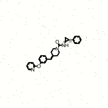 O=C(N[C@@H]1C[C@H]1c1ccccc1)N1CCC(=Cc2cccc(Oc3ccccn3)c2)CC1